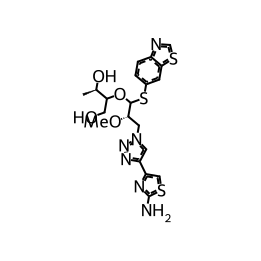 CO[C@@H](Cn1cc(-c2csc(N)n2)nn1)C(OC(CO)[C@@H](C)O)Sc1ccc2ncsc2c1